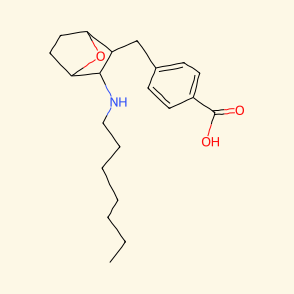 CCCCCCCNC1C2CCC(O2)C1Cc1ccc(C(=O)O)cc1